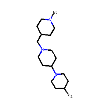 CCC1CCN(C2CCN(CC3CCN(CC)CC3)CC2)CC1